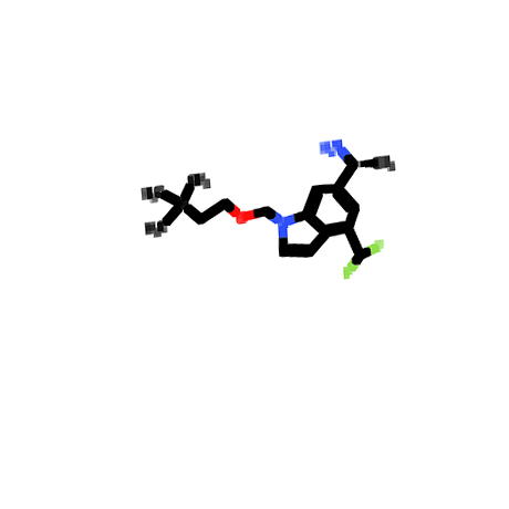 C[C@@H](N)c1cc(C(F)F)c2ccn(COCC[Si](C)(C)C)c2c1